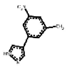 Cc1cc(-c2cn[nH]c2)cc([N+](=O)[O-])c1